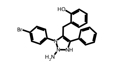 NN1NC(c2ccccc2)=C(Cc2ccccc2O)N1c1ccc(Br)cc1